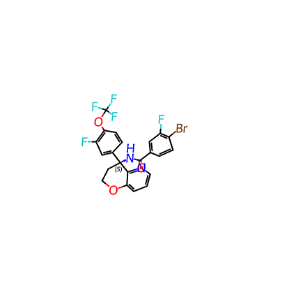 O=C(N[C@]1(c2ccc(OC(F)(F)F)c(F)c2)CCOc2cccnc21)c1ccc(Br)c(F)c1